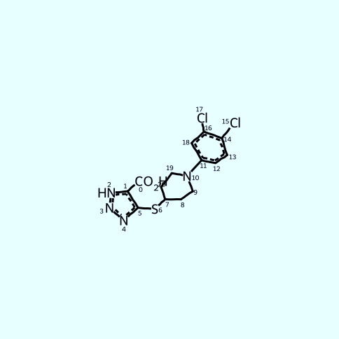 O=C(O)c1[nH]nnc1SC1CCN(c2ccc(Cl)c(Cl)c2)CC1